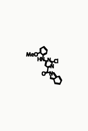 COc1ccccc1Nc1cc(C(=O)n2cc3ccccc3c2)nc(Cl)n1